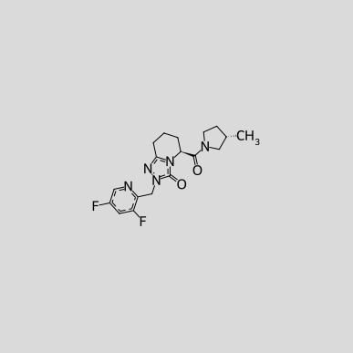 C[C@H]1CCN(C(=O)[C@@H]2CCCc3nn(Cc4ncc(F)cc4F)c(=O)n32)C1